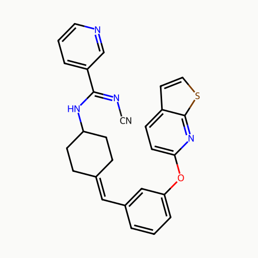 N#C/N=C(\NC1CCC(=Cc2cccc(Oc3ccc4ccsc4n3)c2)CC1)c1cccnc1